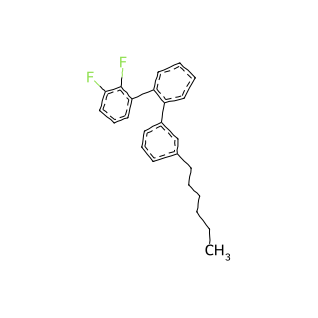 CCCCCCc1cccc(-c2ccccc2-c2cccc(F)c2F)c1